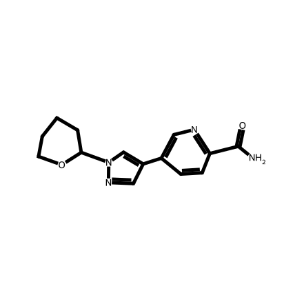 NC(=O)c1ccc(-c2cnn(C3CCCCO3)c2)cn1